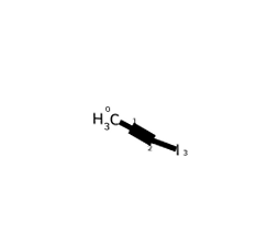 CC#CI